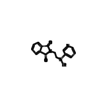 CCN(CCN1C(=O)c2ccccc2C1=O)c1cccnc1